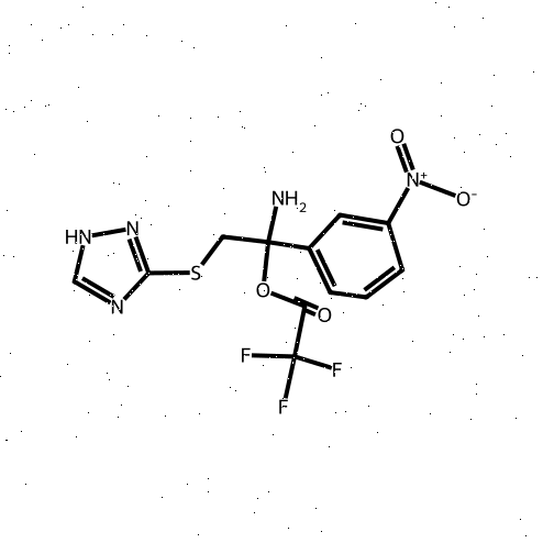 NC(CSc1nc[nH]n1)(OC(=O)C(F)(F)F)c1cccc([N+](=O)[O-])c1